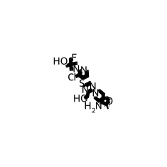 C[C@@H]1OCC2(CCN(c3ncc(Sc4ccnc(N5CC(CO)(CF)C5)c4Cl)nc3CO)CC2)[C@@H]1N